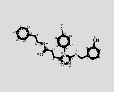 N#Cc1cccc(CSc2nnc(CCC(=O)NCCc3ccccc3)n2-c2ccc(Cl)cc2)c1